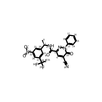 C[C@@H](NC(=O)c1cc(C#N)c(=O)n(-c2ccccc2)n1)c1cc([N+](=O)[O-])cc(C(F)(F)F)c1